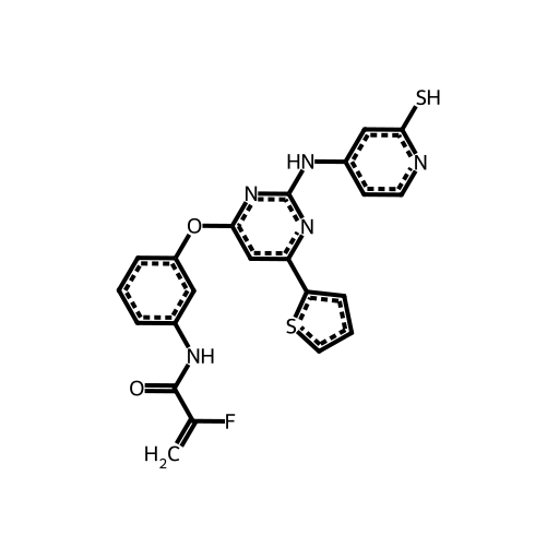 C=C(F)C(=O)Nc1cccc(Oc2cc(-c3cccs3)nc(Nc3ccnc(S)c3)n2)c1